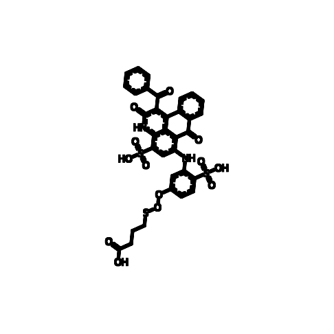 O=C(O)CCCSOOc1ccc(S(=O)(=O)O)c(Nc2cc(S(=O)(=O)O)c3[nH]c(=O)c(C(=O)c4ccccc4)c4c3c2C(=O)c2ccccc2-4)c1